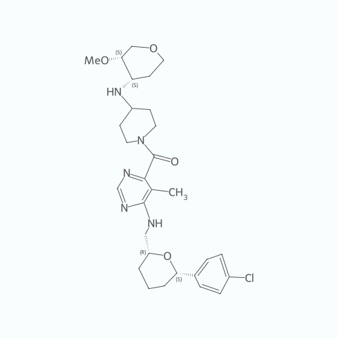 CO[C@@H]1COCC[C@@H]1NC1CCN(C(=O)c2ncnc(NC[C@H]3CCC[C@@H](c4ccc(Cl)cc4)O3)c2C)CC1